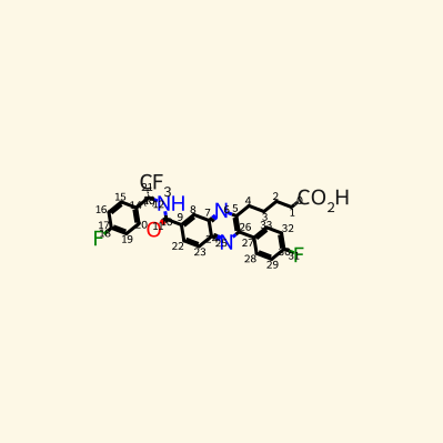 O=C(O)CCCCc1nc2cc(C(=O)N[C@H](c3ccc(F)cc3)C(F)(F)F)ccc2nc1-c1ccc(F)cc1